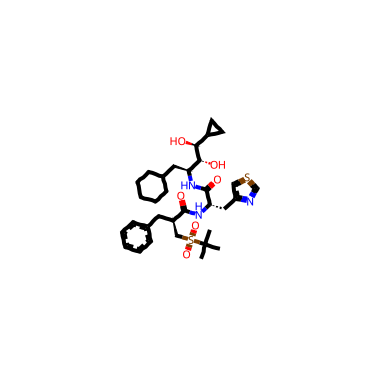 CC(C)(C)S(=O)(=O)C[C@@H](Cc1ccccc1)C(=O)N[C@@H](Cc1cscn1)C(=O)N[C@@H](CC1CCCCC1)[C@@H](O)[C@@H](O)C1CC1